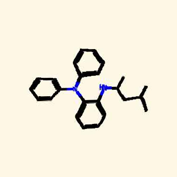 CC(C)CC(C)Nc1ccccc1N(c1ccccc1)c1ccccc1